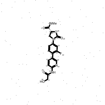 CNC(=O)[C@H]1CN(c2ccc(-c3ccc(NC(=O)CO)nc3)c(F)c2)C(=O)O1